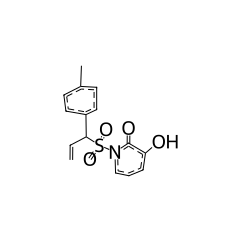 C=CC(c1ccc(C)cc1)S(=O)(=O)n1cccc(O)c1=O